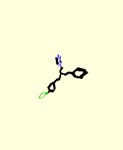 Clc1ccc(CCC(CCc2ccccc2)CCn2ccnc2)cc1